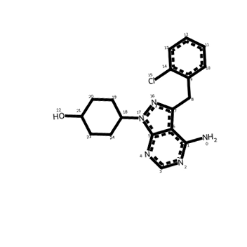 Nc1ncnc2c1c(Cc1ccccc1Cl)nn2C1CCC(O)CC1